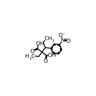 CCC(c1cccc([N+](=O)[O-])c1)C(CC)(C(=O)O)C(=O)O